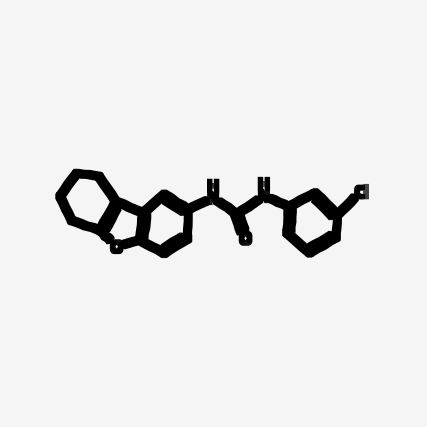 O=C(Nc1cccc(Cl)c1)Nc1ccc2oc3c(c2c1)CCCC3